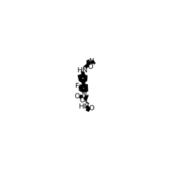 CC(=O)NC[C@H]1CN(c2ccc(-c3ccc(CNCc4cnco4)cc3)c(F)c2)C(=O)O1